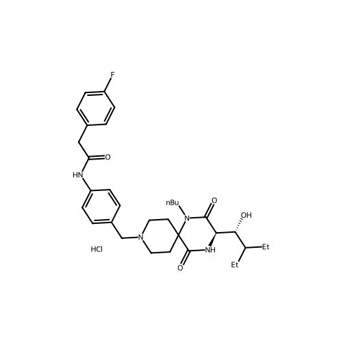 CCCCN1C(=O)[C@@H]([C@H](O)C(CC)CC)NC(=O)C12CCN(Cc1ccc(NC(=O)Cc3ccc(F)cc3)cc1)CC2.Cl